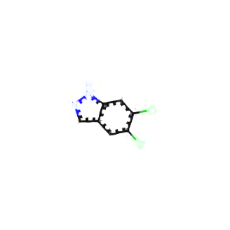 Clc1cc2[c]n[nH]c2cc1Cl